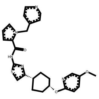 COc1ccc(O[C@H]2CC[C@@H](c3csc(NC(=O)c4cccn4Cc4ccncc4)n3)CC2)nc1